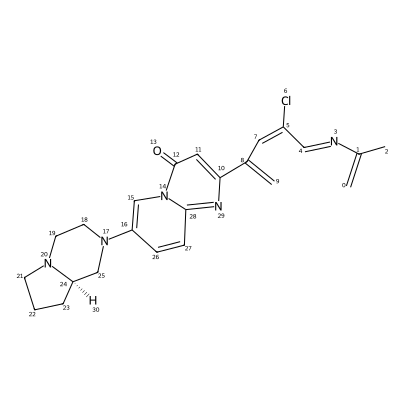 C=C(C)/N=C/C(Cl)=C\C(=C)c1cc(=O)n2cc(N3CCN4CCC[C@@H]4C3)ccc2n1